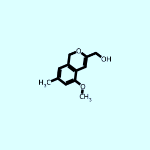 COc1cc(C)cc2c1C=C(CO)OC2